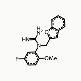 COc1ccc(F)cc1N(Cc1cc2ccccc2o1)C(=N)N